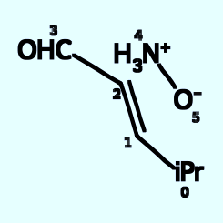 CC(C)C=CC=O.[NH3+][O-]